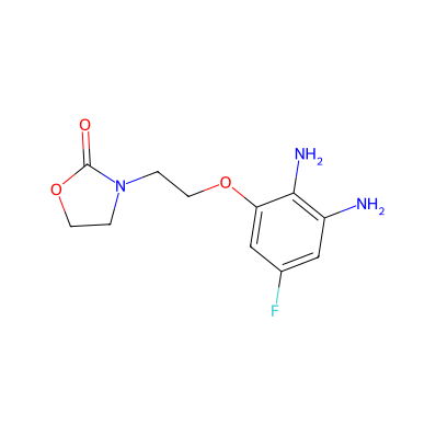 Nc1cc(F)cc(OCCN2CCOC2=O)c1N